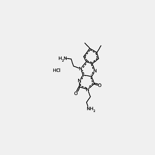 Cc1cc2nc3c(=O)n(CCN)c(=O)nc-3n(CCN)c2cc1C.Cl